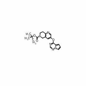 CC(C)(C)OC(=O)N1CCc2ncc(Oc3ncnn4cccc34)cc2C1